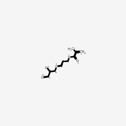 C=C(C)C(=O)OCCCOCC(Cl)CCl